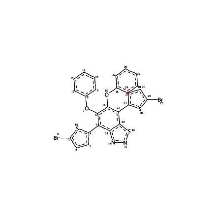 Brc1ccc(-c2c(Oc3ccccc3)c(Oc3ccccc3)c(-c3ccc(Br)s3)c3snnc23)s1